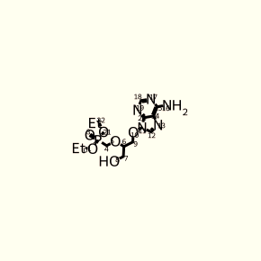 CCOP(=O)(COC(CO)COn1cnc2c(N)ncnc21)OCC